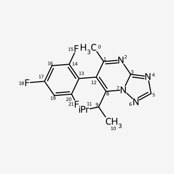 Cc1nc2ncnn2c(C(C)C(C)C)c1-c1c(F)cc(F)cc1F